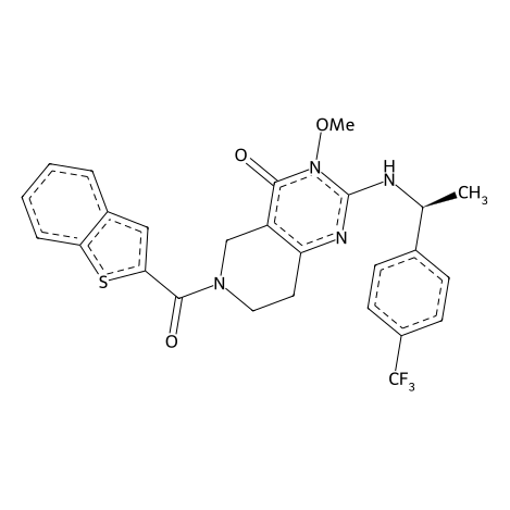 COn1c(N[C@@H](C)c2ccc(C(F)(F)F)cc2)nc2c(c1=O)CN(C(=O)c1cc3ccccc3s1)CC2